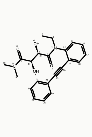 CCN(C(=O)[C@H](O)[C@@H](O)C(=O)N(C)C)c1ccccc1C#Cc1ccccc1